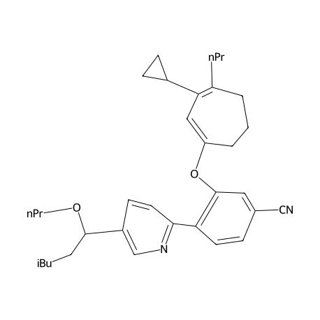 CCCOC(CC(C)CC)c1ccc(-c2ccc(C#N)cc2OC2=CC(C3CC3)=C(CCC)CCC2)nc1